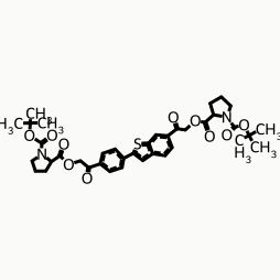 CC(C)(C)OC(=O)N1CCCC1C(=O)OCC(=O)c1ccc(-c2cc3ccc(C(=O)COC(=O)C4CCCN4C(=O)OC(C)(C)C)cc3s2)cc1